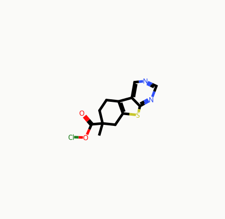 CC1(C(=O)OCl)CCc2c(sc3ncncc23)C1